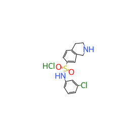 Cl.O=S(=O)(Nc1cccc(Cl)c1)c1ccc2c(c1)CNCC2